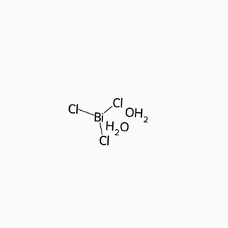 O.O.[Cl][Bi]([Cl])[Cl]